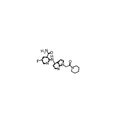 NC(=O)c1cc(F)cnc1Nc1ccnc2c1ccn2CC(=O)N1CCCCC1